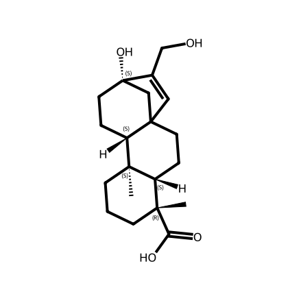 C[C@@]12CCC[C@@](C)(C(=O)O)[C@H]1CCC13C=C(CO)[C@](O)(CC[C@H]12)C3